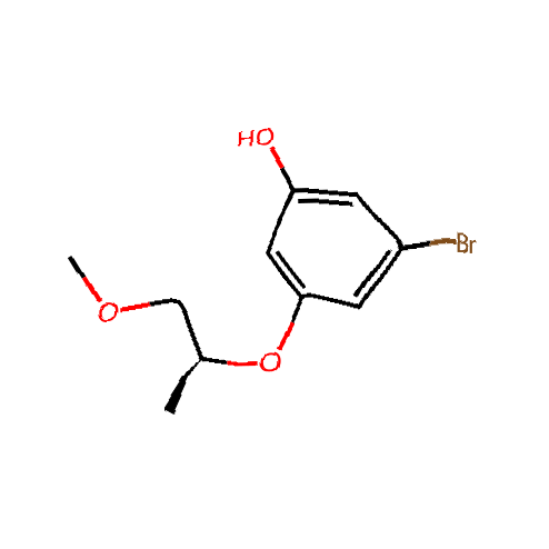 COC[C@H](C)Oc1cc(O)cc(Br)c1